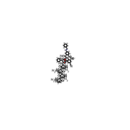 N#Cc1cc([N+](=O)[O-])c(N(Cc2ccc(/C=C/c3ccccc3)cc2)C(CO)C(=O)NC(C(=O)NC(NC(=N)N)C(=O)NC(NC(=N)N)C(=O)NC(NC(=N)N)C(=O)NC(NC(=N)N)C(N)=O)c2ccccc2)c([N+](=O)[O-])c1